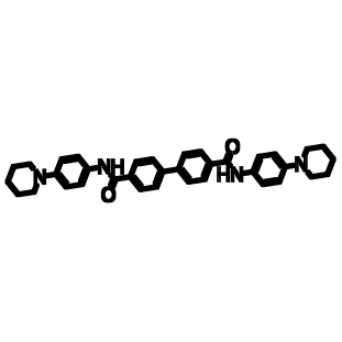 O=C(Nc1ccc(N2CCCCC2)cc1)c1ccc(-c2ccc(C(=O)Nc3ccc(N4CCCCC4)cc3)cc2)cc1